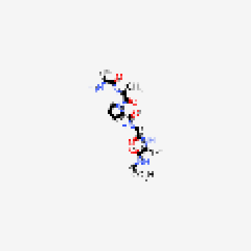 CC(C)[C@H](N)C(=O)N[C@@H](C)C(=O)N1CCC[C@H]1C(=O)NCC(=O)N[C@H](C(=O)NCC(=O)O)C(C)C